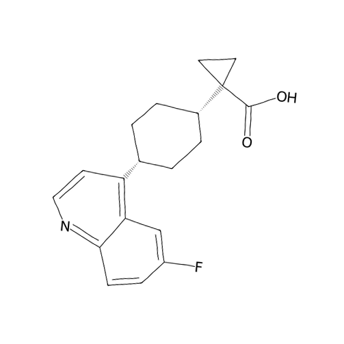 O=C(O)C1([C@H]2CC[C@@H](c3ccnc4ccc(F)cc43)CC2)CC1